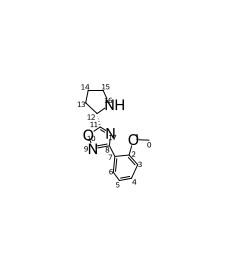 COc1ccccc1-c1noc([C@@H]2CCCN2)n1